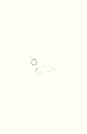 CC(=O)N1CCC(CC2NN(C)C=C2c2ccc(Cl)cc2)CC1